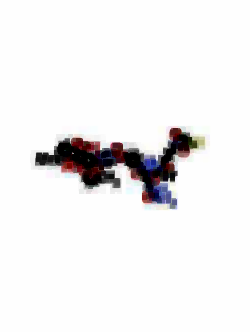 COc1cccc2c1C(=O)c1c(O)c3c(c(O)c1C2=O)C[C@@](I)(C(=O)N1CCN(C(=O)OCc2ccc(NC(=O)[C@H](CCCNC(N)=O)NC(=O)[C@@H](NC(=O)CCCCCN4C(=O)CC(S)C4=O)C(C)C)cc2)CC1)C[C@@H]3O[C@H]1CCC[C@H](C)O1